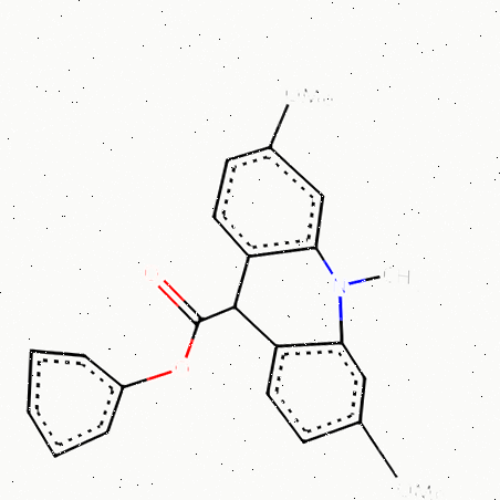 COc1ccc2c(c1)N(C)c1cc(OC)ccc1C2C(=O)Oc1ccccc1